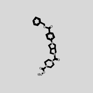 CC(C)(C)OC(=O)N1CCN(C(=O)N2CC3CN(c4ccc(C(=O)OCc5ccccc5)cc4)CC3C2)CC1